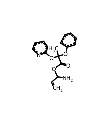 C=CC(N)OC(=O)C(C)(Oc1ccccc1)Oc1ccccn1